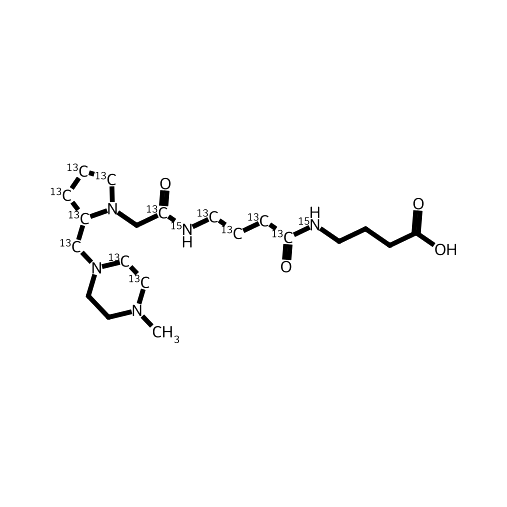 CN1CCN([13CH2][13CH]2[13CH2][13CH2][13CH2]N2C[13C](=O)[15NH][13CH2][13CH2][13CH2][13C](=O)[15NH]CCCC(=O)O)[13CH2][13CH2]1